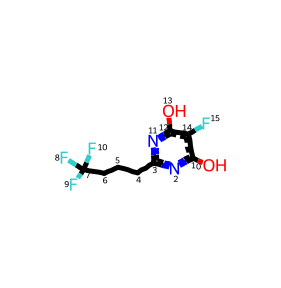 Oc1nc(CCCC(F)(F)F)nc(O)c1F